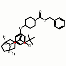 CC(C)(C)OC(=O)N1C[C@H]2CC[C@@H](C1)N2c1cc(Cl)cc(OC2CCN(C(=O)OCc3ccccc3)CC2)c1